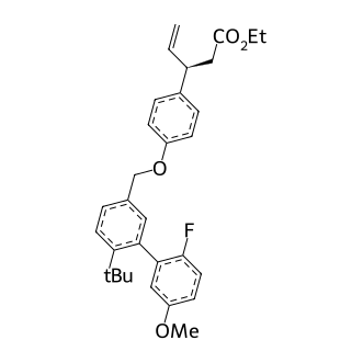 C=C[C@@H](CC(=O)OCC)c1ccc(OCc2ccc(C(C)(C)C)c(-c3cc(OC)ccc3F)c2)cc1